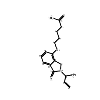 C=CC(CCC)N1Cc2c(SCCCCC(=C)O)cccc2C1=O